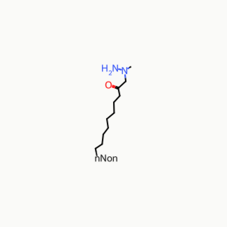 CCCCCCCCCCCCCCCCCC(=O)CN(C)N